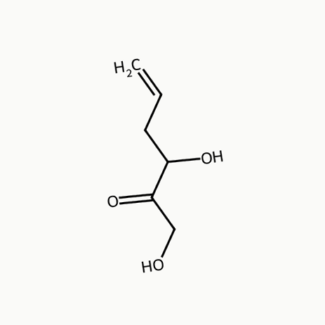 C=CCC(O)C(=O)CO